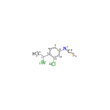 CC(Br)c1ccc(N=C=S)cc1Cl